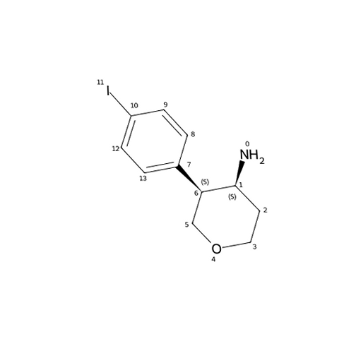 N[C@H]1CCOC[C@H]1c1ccc(I)cc1